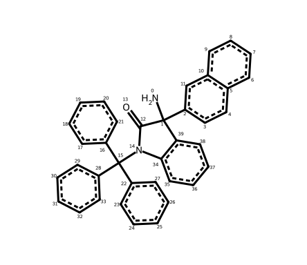 NC1(c2ccc3ccccc3c2)C(=O)N(C(c2ccccc2)(c2ccccc2)c2ccccc2)c2ccccc21